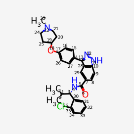 CC(C)[C@H](NC(=O)c1ccc2[nH]nc(-c3ccc(OC4CCN(C)CC4)cc3)c2c1)c1ccccc1Cl